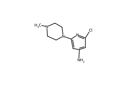 CN1CCN(c2cc(N)cc(Cl)n2)CC1